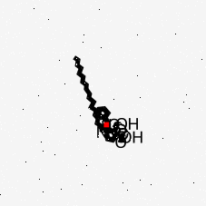 CCCCCCCCCCCCCCCCCc1nc2ccc(S(=O)(=O)O)c(S(=O)(=O)O)c2n1Cc1ccccc1